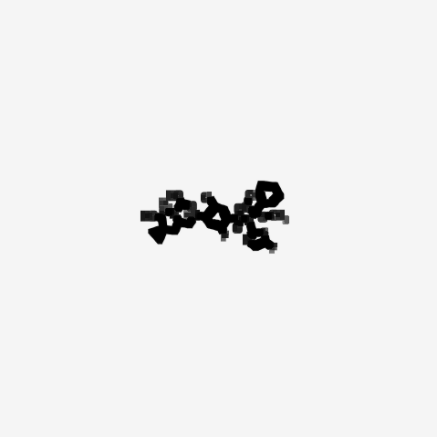 COC(OC)(c1ccccc1)N(c1ncc(F)s1)S(=O)(=O)c1cc(Cl)c(NCC(CC2(CO)CC2)N(C)C(=O)O)cc1F